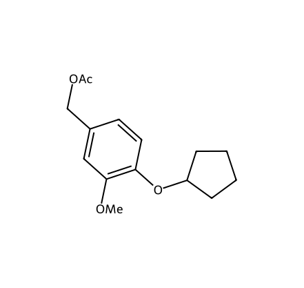 COc1cc(COC(C)=O)ccc1OC1CCCC1